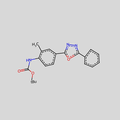 Cc1cc(-c2nnc(-c3ccccc3)o2)ccc1NC(=O)OC(C)(C)C